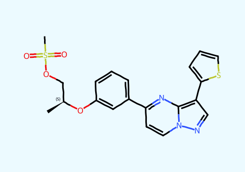 C[C@@H](COS(C)(=O)=O)Oc1cccc(-c2ccn3ncc(-c4cccs4)c3n2)c1